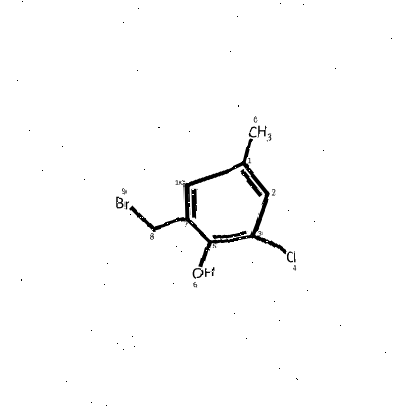 Cc1cc(Cl)c(O)c(CBr)c1